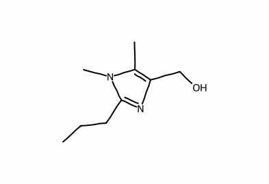 CCCc1nc(CO)c(C)n1C